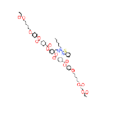 C=CC(=O)OCCCCCCOc1ccc(OC(=O)[C@H]2CC[C@H](C(=O)Oc3ccc(OC(=O)[C@H]4CC[C@H](C(=O)Oc5ccc(OCCCCCCOC(=O)CCOC(=O)C=C)cc5)CC4)c(/C=N/N(CCCCCC)c4nc5ccccc5s4)c3)CC2)cc1